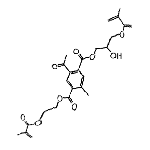 C=C(C)C(=C)OCC(O)COC(=O)c1cc(C)c(C(=O)OCCOC(=O)C(=C)C)cc1C(C)=O